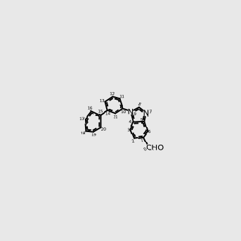 O=Cc1ccc2c(c1)ncn2-c1cccc(-c2ccccc2)c1